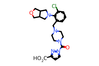 O=C(O)c1ccn(C(=O)N2CCN(Cc3cccc(Cl)c3N3CC4COCC4C3)CC2)n1